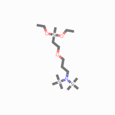 CCO[Si](C)(CCOCCCN([Si](C)(C)C)[Si](C)(C)C)OCC